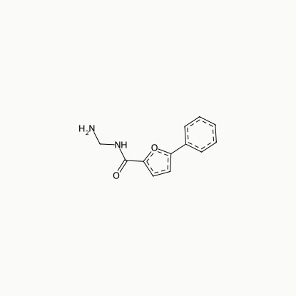 NCNC(=O)c1ccc(-c2ccccc2)o1